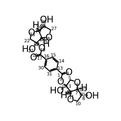 O=C(O[C@@]1(O)CO[C@@H]2[C@H](O)CO[C@@H]21)c1ccc(C(=O)O[C@@]2(O)CO[C@@H]3[C@H](O)CO[C@@H]32)cc1